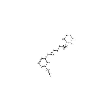 [C-]#[N+]c1cccc(CNCCCNC2CCCCC2)c1